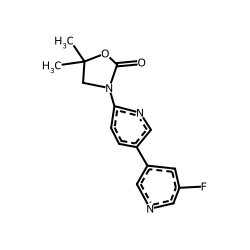 CC1(C)CN(c2ccc(-c3cncc(F)c3)cn2)C(=O)O1